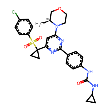 C[C@H]1COCCN1c1cc(C2(S(=O)(=O)c3ccc(Cl)cc3)CC2)nc(-c2ccc(NC(=O)NC3CC3)cc2)n1